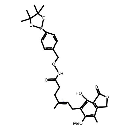 COc1c(C)c2c(c(O)c1C/C=C(\C)CCC(=O)NOCc1ccc(B3OC(C)(C)C(C)(C)O3)cc1)C(=O)OC2